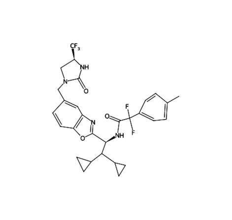 Cc1ccc(C(F)(F)C(=O)N[C@H](c2nc3cc(CN4C[C@@H](C(F)(F)F)NC4=O)ccc3o2)C(C2CC2)C2CC2)cc1